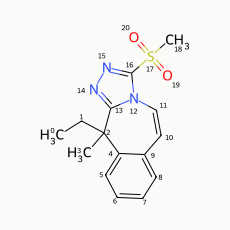 CCC1(C)c2ccccc2C=Cn2c1nnc2S(C)(=O)=O